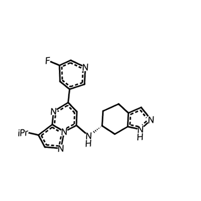 CC(C)c1cnn2c(N[C@@H]3CCc4cn[nH]c4C3)cc(-c3cncc(F)c3)nc12